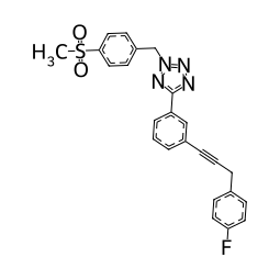 CS(=O)(=O)c1ccc(Cn2nnc(-c3cccc(C#CCc4ccc(F)cc4)c3)n2)cc1